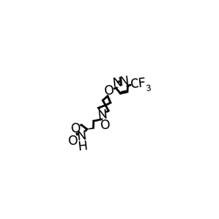 O=C1N[C@H](CCC(=O)N2CC3(CC(Oc4ccc(C(F)(F)F)nn4)C3)C2)CO1